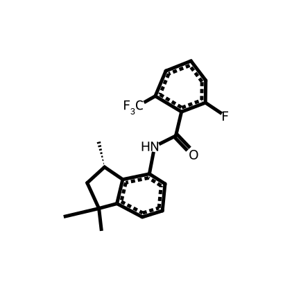 C[C@H]1CC(C)(C)c2cccc(NC(=O)c3c(F)cccc3C(F)(F)F)c21